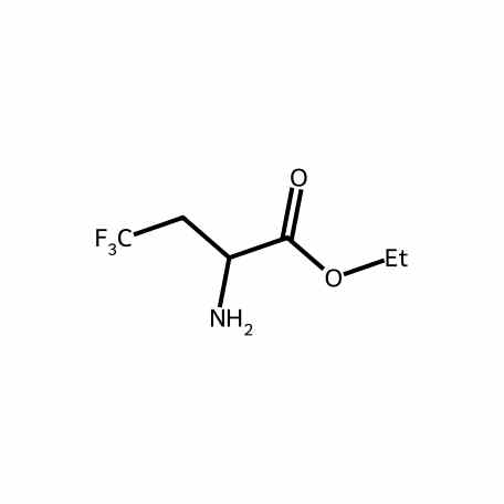 CCOC(=O)C(N)CC(F)(F)F